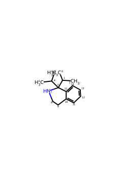 CC(C)C1(C(C)C)NCCc2ccccc21